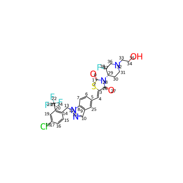 O=C1S/C(=C\c2ccc3c(cnn3Cc3ccc(Cl)cc3C(F)(F)F)c2)C(=O)N1[C@H]1CCN(CCO)C[C@@H]1F